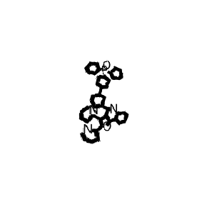 O=P(c1ccccc1)(c1ccccc1)c1ccc(-c2cccc(-c3nc4ccccc4c4oc(-c5ccccn5)c(-c5ccccn5)c34)c2)cc1